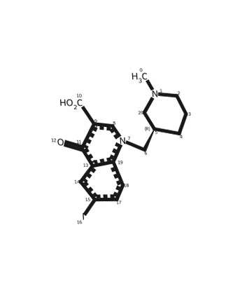 CN1CCC[C@@H](Cn2cc(C(=O)O)c(=O)c3cc(I)ccc32)C1